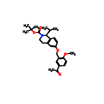 COc1ccc(C(C)=O)cc1COc1ccc2c(c1)CCN(C(=O)OC(C)(C)C)[C@H]2C(C)C